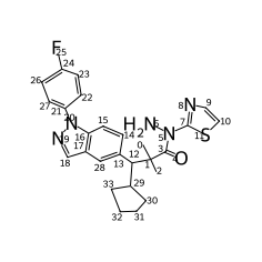 CC(C)(C(=O)N(N)c1nccs1)C(c1ccc2c(cnn2-c2ccc(F)cc2)c1)C1CCCC1